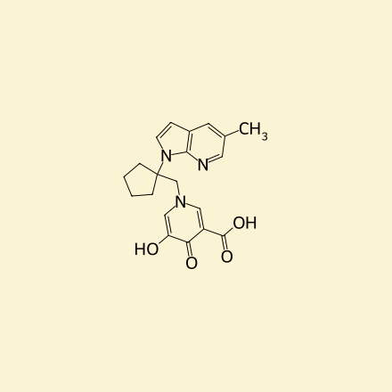 Cc1cnc2c(ccn2C2(Cn3cc(O)c(=O)c(C(=O)O)c3)CCCC2)c1